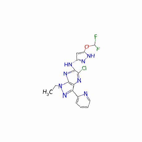 CCn1nc(-c2ccccn2)c2nc(Cl)c(Nc3cc(OC(F)F)[nH]n3)nc21